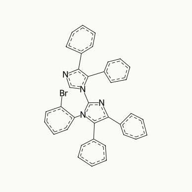 Brc1ccccc1-n1c(-n2cnc(-c3ccccc3)c2-c2ccccc2)nc(-c2ccccc2)c1-c1ccccc1